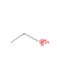 CCCCCCCC/C=C\CCCCCCCCSP(=O)(O)O